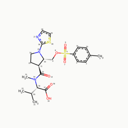 Cc1ccc(S(=O)(=O)OC[C@@H]2[C@@H](C(=O)N(C)[C@H](C(=O)O)C(C)C)CCN2c2nccs2)cc1